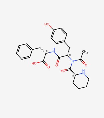 CC(=O)N(C(=O)[C@@H]1CCCCN1)[C@@H](Cc1ccc(O)cc1)C(=O)N[C@@H](Cc1ccccc1)C(=O)O